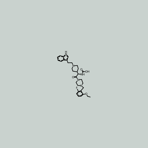 CCOc1cccc(F)c1CN1CCN(C(=O)C(NC(=O)O)C2CCN(CCc3c[nH]c4ccccc34)CC2)CC1